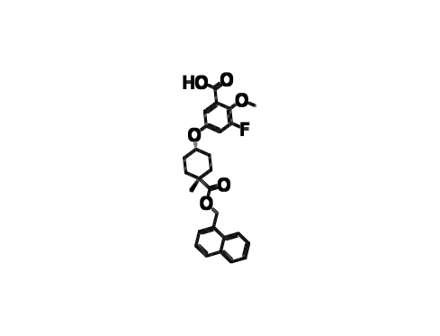 COc1c(F)cc(O[C@H]2CC[C@@](C)(C(=O)OCc3cccc4ccccc34)CC2)cc1C(=O)O